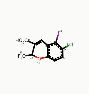 O=C(O)C1=Cc2c(ccc(Cl)c2I)OC1C(F)(F)F